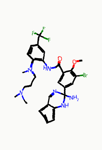 COc1c(Br)cc(C2(N)N=Cc3ccccc3N2)cc1C(=O)Nc1cc(C(F)(F)F)ccc1N(C)CCCN(C)C